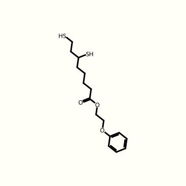 O=C(CCCCC(S)CCS)OCCOc1ccccc1